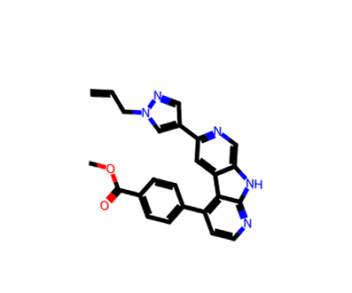 C=CCn1cc(-c2cc3c(cn2)[nH]c2nccc(-c4ccc(C(=O)OC)cc4)c23)cn1